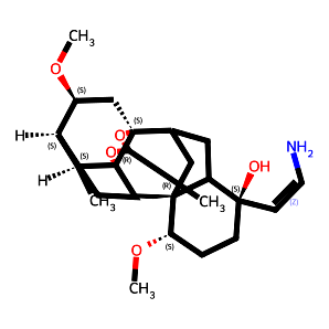 CO[C@H]1C[C@@]23OC(C)O[C@]24C(C[C@H]1[C@@H]4C)[C@@]12CC3CC1[C@](O)(/C=C\N)CC[C@@H]2OC